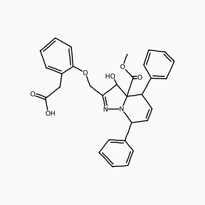 COC(=O)C12C(O)C(COc3ccccc3CC(=O)O)=NN1C(c1ccccc1)C=CC2c1ccccc1